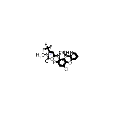 COc1ncccc1Oc1cc(N(C)C(=O)/C=C(\N(C)C=O)C(F)(F)F)c(F)cc1Cl